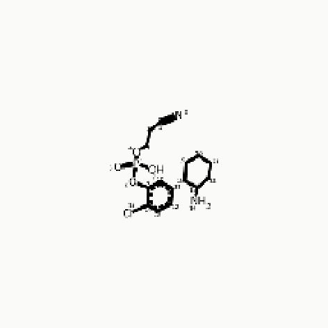 N#CCCOP(=O)(O)Oc1ccccc1Cl.NC1CCCCC1